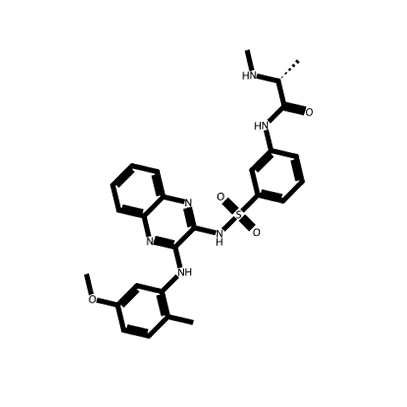 CN[C@H](C)C(=O)Nc1cccc(S(=O)(=O)Nc2nc3ccccc3nc2Nc2cc(OC)ccc2C)c1